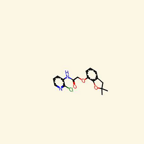 CC1(C)Cc2cccc(OCC(=O)Nc3cccnc3Cl)c2O1